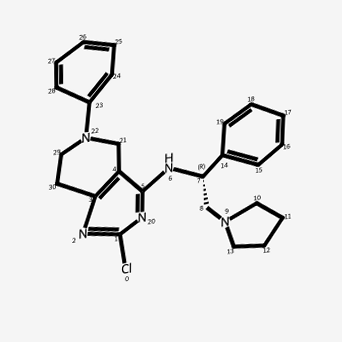 Clc1nc2c(c(N[C@@H](CN3CCCC3)c3ccccc3)n1)CN(c1ccccc1)CC2